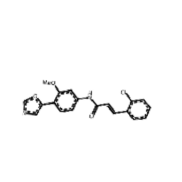 COc1cc(NC(=O)C=Cc2ccccc2Cl)ccc1-c1cnco1